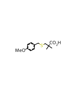 COc1ccc(CSCC(C)(C)C(=O)O)cc1